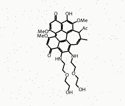 COc1c(O)c2c(=O)cc(OC)c3c4c(OC)cc(=O)c5c(NCCOCCO)c(NCCOCCO)c6c(c(c1C(C(C)=O)C(C)=C6)c23)c54